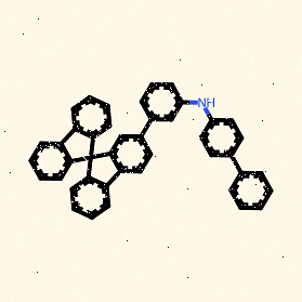 c1ccc(-c2ccc(Nc3cccc(-c4ccc5c(c4)C4(c6ccccc6-c6ccccc64)c4ccccc4-5)c3)cc2)cc1